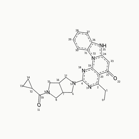 CCc1nc(N2CC3CN(C(=O)C4CC4)CC3C2)nc2c1c(=O)cc1[nH]c3ccccc3n12